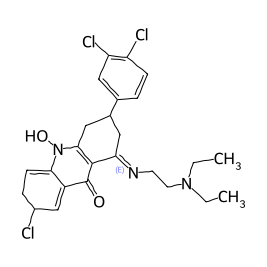 CCN(CC)CC/N=C1\CC(c2ccc(Cl)c(Cl)c2)Cc2c1c(=O)c1c(n2O)=CCC(Cl)C=1